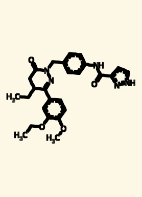 CCOc1cc(C2=NN(Cc3ccc(NC(=O)c4cc[nH]n4)cc3)C(=O)CC2CC)ccc1OC